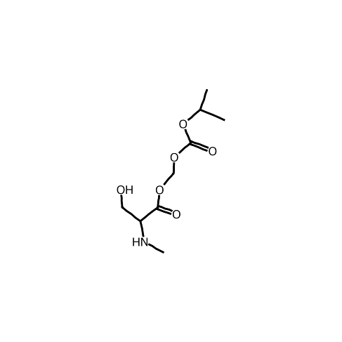 CNC(CO)C(=O)OCOC(=O)OC(C)C